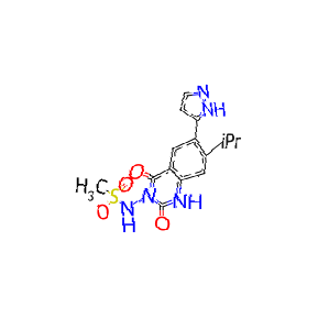 CC(C)c1cc2[nH]c(=O)n(NS(C)(=O)=O)c(=O)c2cc1-c1ccn[nH]1